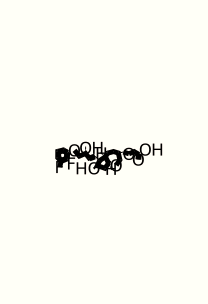 O=C(O)COC[C@H]1CC[C@@H]2[C@@H](C=C[C@@H](O)COc3cccc(F)c3F)[C@H](O)C[C@@H]2OC1